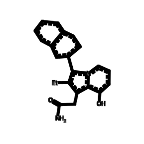 CCc1c(CC(N)=O)c2c(O)cccn2c1-c1ccc2ccccc2c1